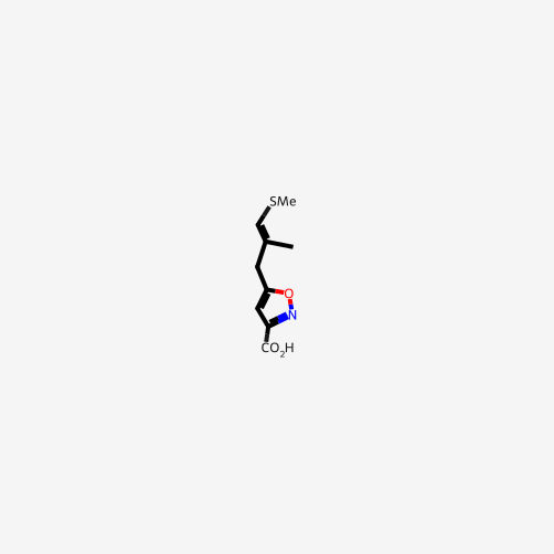 CS/C=C(\C)Cc1cc(C(=O)O)no1